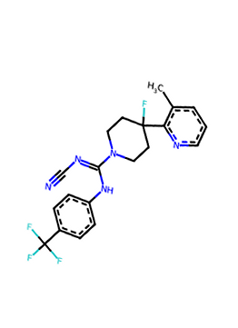 Cc1cccnc1C1(F)CCN(/C(=N/C#N)Nc2ccc(C(F)(F)F)cc2)CC1